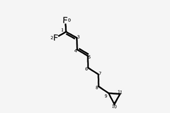 FC(F)=CC=CCCCC1[CH]C1